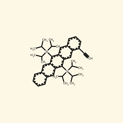 C#Cc1cccc2cc3c([Si](C(C)C)(C(C)C)C(C)C)c4cc5ccccc5cc4c([Si](C(C)C)(C(C)C)C(C)C)c3cc12